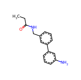 CCC(=O)NCc1cccc(-c2cccc(N)c2)c1